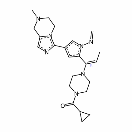 C=Nn1cc(-c2ncc3n2CCN(C)C3)cc1/C(=C\C)N1CCN(C(=O)C2CC2)CC1